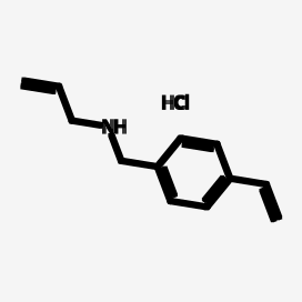 C=CCNCc1ccc(C=C)cc1.Cl